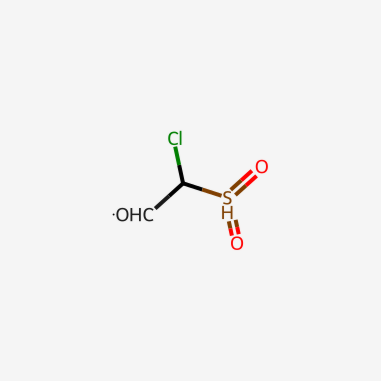 O=[C]C(Cl)[SH](=O)=O